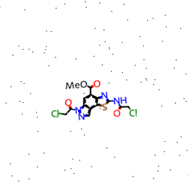 COC(=O)c1cc2c(cnn2C(=O)CCl)c2sc(NC(=O)CCl)nc12